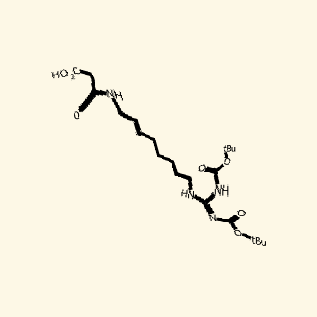 CC(C)(C)OC(=O)/N=C(/NCCCCCCCCNC(=O)CC(=O)O)NC(=O)OC(C)(C)C